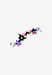 Cc1cc(-c2noc(C(F)(F)F)n2)cc(C)c1OCCCOc1cc(C(F)(F)F)no1